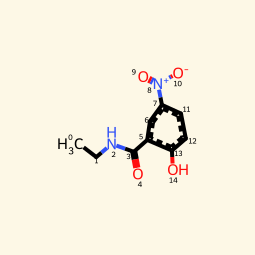 CCNC(=O)c1cc([N+](=O)[O-])ccc1O